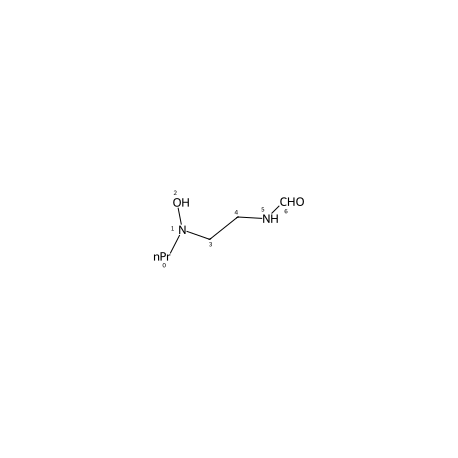 CCCN(O)CCNC=O